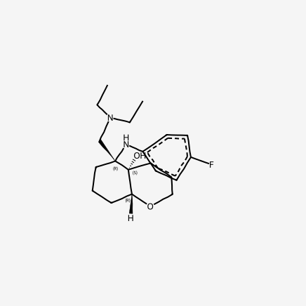 CCN(CC)C[C@]1(Nc2ccc(F)cc2)CCC[C@H]2OCCC[C@@]21O